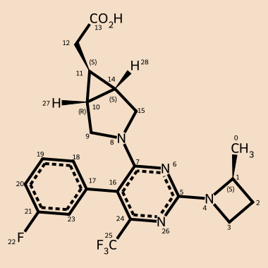 C[C@H]1CCN1c1nc(N2C[C@@H]3[C@@H](CC(=O)O)[C@@H]3C2)c(-c2cccc(F)c2)c(C(F)(F)F)n1